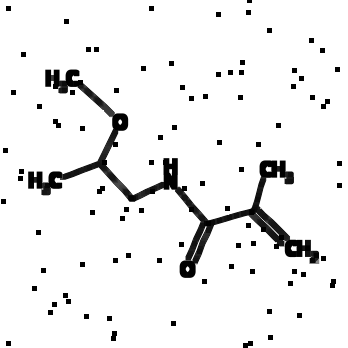 C=C(C)C(=O)NCC(C)OC